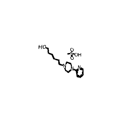 CS(=O)(=O)O.OCCCCCCN1CCN(c2ccccn2)CC1